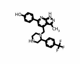 Cc1n[nH]c2nc(-c3ccc(O)cc3)cc(CN3CCNCC3c3ccc(C(F)(F)F)cc3)c12